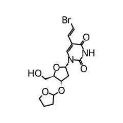 O=c1[nH]c(=O)n([C@H]2C[C@H](OC3CCCO3)[C@@H](CO)O2)cc1C=CBr